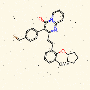 COc1cccc(/C=C/c2nc3ccccn3c(=O)c2-c2ccc(C=S)cc2)c1OC1CCCC1